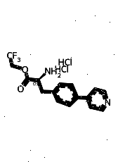 Cl.Cl.N[C@@H](Cc1ccc(-c2ccncc2)cc1)C(=O)OCC(F)(F)F